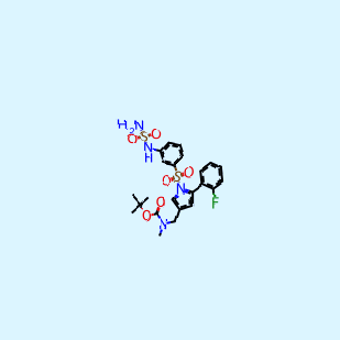 CN(Cc1cc(-c2ccccc2F)n(S(=O)(=O)c2cccc(NS(N)(=O)=O)c2)c1)C(=O)OC(C)(C)C